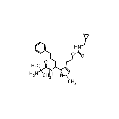 Cn1cc(CCOC(=O)NCC2CC2)c(C(CCCc2ccccc2)NC(=O)C(C)(C)N)n1